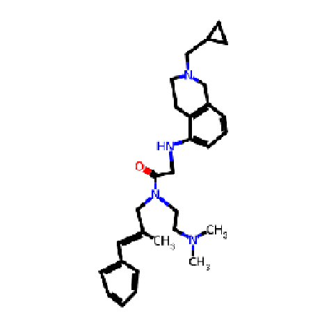 C/C(=C\c1ccccc1)CN(CCN(C)C)C(=O)CNc1cccc2c1CCN(CC1CC1)C2